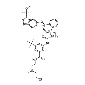 COC(C)(C)c1nnc2ccc(O[C@@H]3C=C[C@](C=O)(NC(=O)Nc4cc(C(C)(C)C)nc(C(=O)NCCN(C)CCO)n4)c4ccccc43)cn12